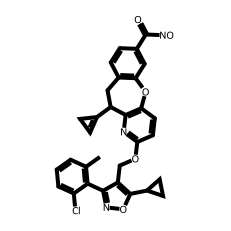 Cc1cccc(Cl)c1-c1noc(C2CC2)c1COc1ccc2c(n1)C(C1=CC1)Cc1ccc(C(=O)N=O)cc1O2